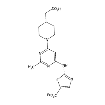 CCOC(=O)c1cnc(Nc2cc(N3CCC(CC(=O)O)CC3)nc(C)n2)s1